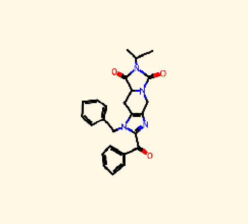 CC(C)N1C(=O)C2Cc3c(nc(C(=O)c4ccccc4)n3Cc3ccccc3)CN2C1=O